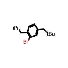 CC(C)Cc1ccc(CC(C)(C)C)cc1Br